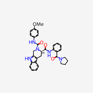 COc1ccc(NC(=O)N2Cc3[nH]c4ccccc4c3C[C@@H]2C(=O)Nc2ccccc2C(=O)N2CCCC2)cc1